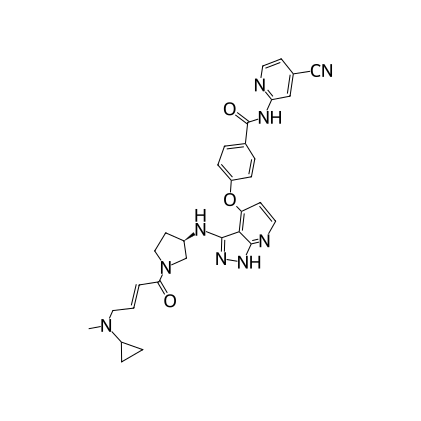 CN(C/C=C/C(=O)N1CC[C@@H](Nc2n[nH]c3nccc(Oc4ccc(C(=O)Nc5cc(C#N)ccn5)cc4)c23)C1)C1CC1